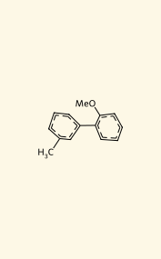 COc1ccccc1-c1cccc(C)c1